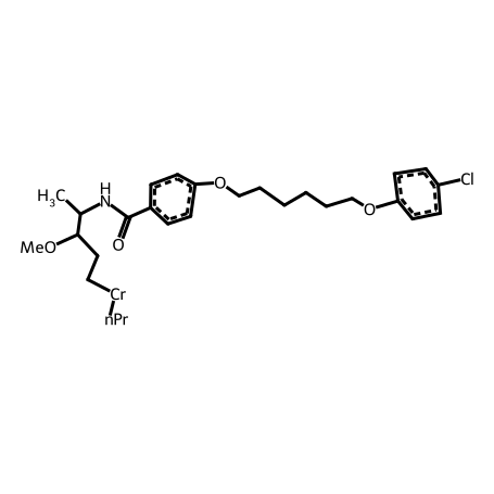 CC[CH2][Cr][CH2]CC(OC)C(C)NC(=O)c1ccc(OCCCCCCOc2ccc(Cl)cc2)cc1